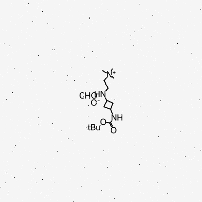 CC(C)(C)OC(=O)NC1CC(NCC[N+](C)(C)C)C1.O=C[O-]